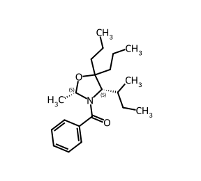 CCCC1(CCC)O[C@@H](C)N(C(=O)c2ccccc2)[C@H]1C(C)CC